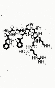 CC[C@H](C)[C@H](NC(=O)[C@@H](N)Cc1ccccc1)C(=O)N[C@@H](C)C(=O)N[C@@H](Cc1c[nH]c2ccccc12)C(=O)N[C@@H](CC(C)C)C(=O)N[C@H](C(=O)N[C@@H](CCCCN)C(=O)NCC(=O)N[C@@H](CCCNC(=N)N)C(=O)O)C(C)C